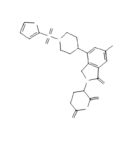 O=C1CCC(N2Cc3c(cc(F)cc3C3CCN(S(=O)(=O)c4cccs4)CC3)C2=O)C(=O)N1